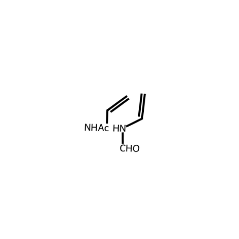 C=CNC(C)=O.C=CNC=O